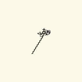 CCCCCCCCCCCCCCCCCCc1c(C(=O)OCC)cc(C(C)(C)C)c(OP2OCCO2)c1C(C)(C)C